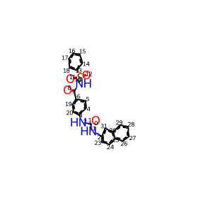 O=C(Nc1ccc(C(=O)NS(=O)(=O)c2ccccc2)cc1)Nc1ccc2ccccc2c1